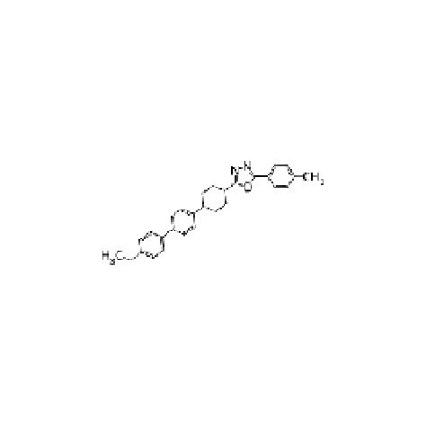 CCc1ccc(-c2ccc(C3CCC(c4nnc(-c5ccc(C)cc5)o4)CC3)cc2)cc1